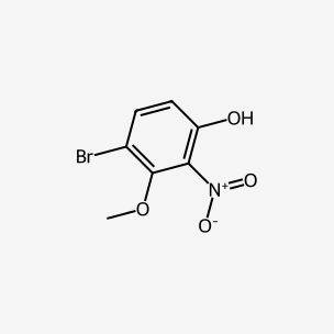 COc1c(Br)ccc(O)c1[N+](=O)[O-]